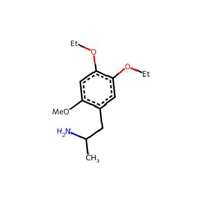 CCOc1cc(CC(C)N)c(OC)cc1OCC